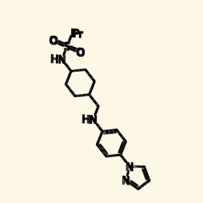 CC(C)S(=O)(=O)NC1CCC(CNc2ccc(-n3cccn3)cc2)CC1